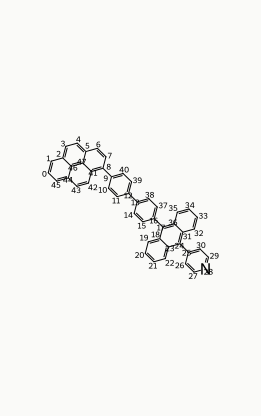 c1cc2ccc3ccc(-c4ccc(-c5ccc(-c6c7ccccc7c(-c7ccncc7)c7ccccc67)cc5)cc4)c4ccc(c1)c2c34